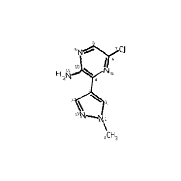 Cn1cc(-c2nc(Cl)cnc2N)cn1